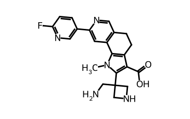 Cn1c2c(c(C(=O)O)c1C1(CN)CNC1)CCc1cnc(-c3ccc(F)nc3)cc1-2